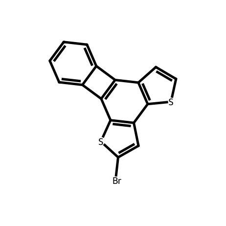 Brc1cc2c(s1)c1c(c3ccsc32)-c2ccccc2-1